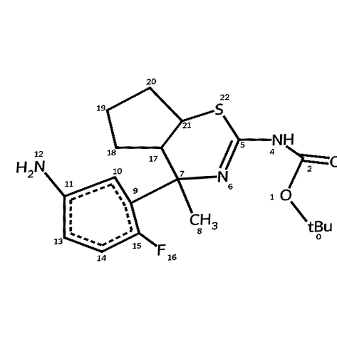 CC(C)(C)OC(=O)NC1=NC(C)(c2cc(N)ccc2F)C2CCCC2S1